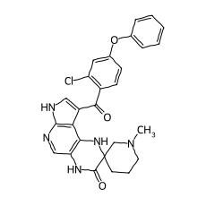 CN1CCCC2(C1)Nc1c(cnc3[nH]cc(C(=O)c4ccc(Oc5ccccc5)cc4Cl)c13)NC2=O